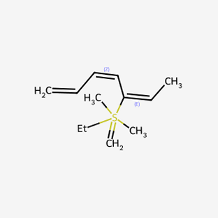 C=C/C=C\C(=C/C)S(=C)(C)(C)CC